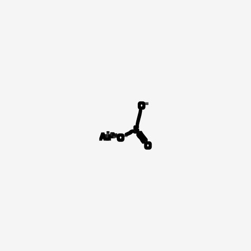 O=S([O-])[O-].[Au+2]